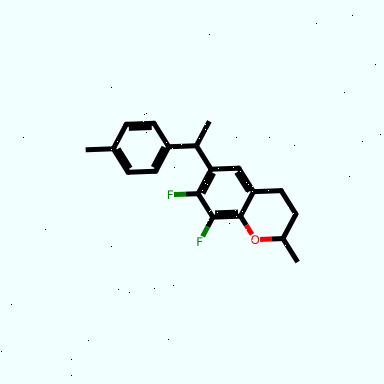 Cc1ccc(C(C)c2cc3c(c(F)c2F)OC(C)CC3)cc1